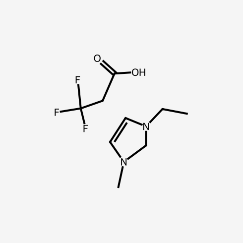 CCN1C=CN(C)C1.O=C(O)CC(F)(F)F